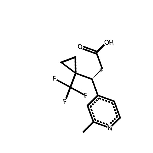 Cc1cc([C@@H](CC(=O)O)C2(C(F)(F)F)CC2)ccn1